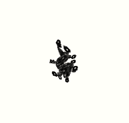 CO[C@@H]1O[C@H](COCc2ccccc2)[C@@H](OCc2ccccc2)[C@H](OCc2ccccc2)[C@H]1O[C@H]1C=C(CO[C@@H]2O[C@H](COC(=O)c3ccccc3)[C@@H](OC(=O)c3ccccc3)[C@H](OC(=O)c3ccccc3)[C@H]2OC(=O)c2ccccc2)CO1